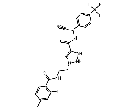 Cc1ccc(C(=O)NCCN2C=C(C(=O)NC(C#N)c3ccc(C(F)(F)F)cc3)NN2)c(F)c1